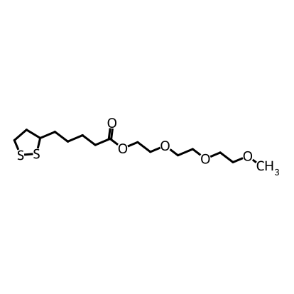 COCCOCCOCCOC(=O)CCCCC1CCSS1